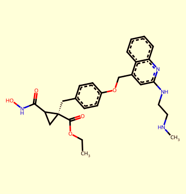 CCOC(=O)[C@@]1(Cc2ccc(OCc3cc(NCCNC)nc4ccccc34)cc2)CC1C(=O)NO